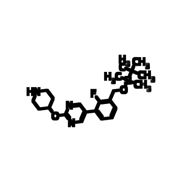 CC(C)(C)[Si](C)(C)OCc1cccc(-c2cnc(OC3CCNCC3)nc2)c1F